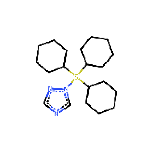 c1ncn(S(C2CCCCC2)(C2CCCCC2)C2CCCCC2)n1